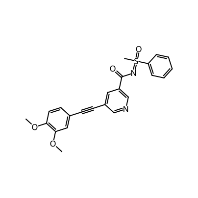 COc1ccc(C#Cc2cncc(C(=O)N=S(C)(=O)c3ccccc3)c2)cc1OC